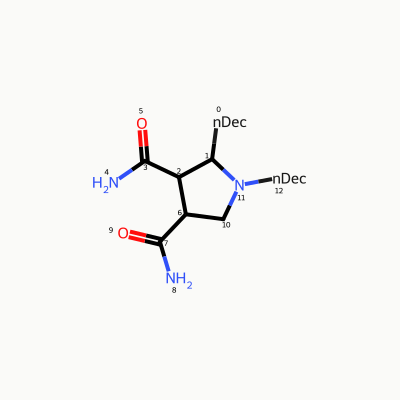 CCCCCCCCCCC1C(C(N)=O)C(C(N)=O)CN1CCCCCCCCCC